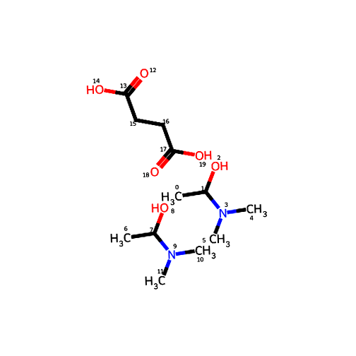 CC(O)N(C)C.CC(O)N(C)C.O=C(O)CCC(=O)O